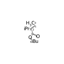 C/C=C(/C(=O)OC(C)CC)C(C)C